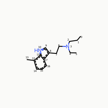 CCCN(CC)CCc1c[nH]c2c(C)cccc12